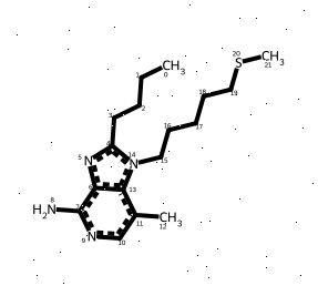 CCCCc1nc2c(N)ncc(C)c2n1CCCCCSC